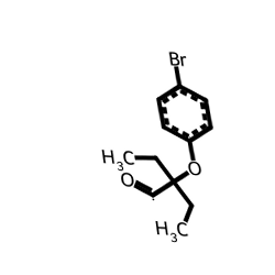 CCC([C]=O)(CC)Oc1ccc(Br)cc1